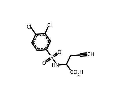 C#CCC(NS(=O)(=O)c1ccc(Cl)c(Cl)c1)C(=O)O